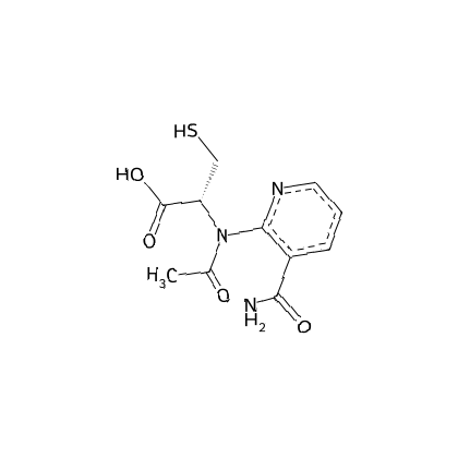 CC(=O)N(c1ncccc1C(N)=O)[C@@H](CS)C(=O)O